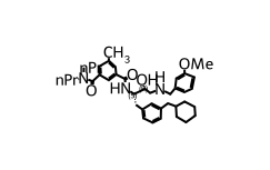 CCCN(CCC)C(=O)c1cc(C)cc(C(=O)N[C@@H](Cc2cccc(CC3CCCCC3)c2)[C@H](O)CNCc2cccc(OC)c2)c1